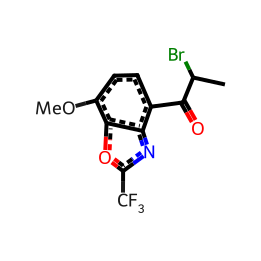 COc1ccc(C(=O)C(C)Br)c2nc(C(F)(F)F)oc12